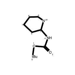 CC(C)(C)OC(=O)NC1CCCC[N]1